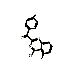 O=C(c1ccc(F)cc1)c1nc(Cl)c2c(F)cccc2n1